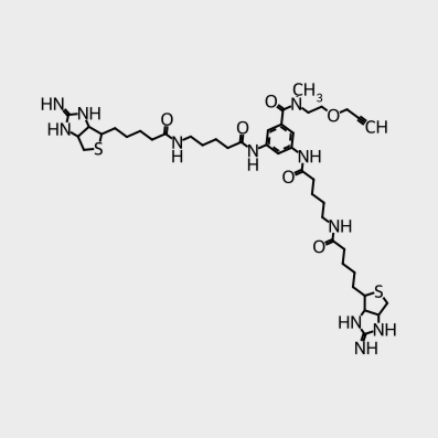 C#CCOCCN(C)C(=O)c1cc(NC(=O)CCCCNC(=O)CCCCC2SCC3NC(=N)NC32)cc(NC(=O)CCCCNC(=O)CCCCC2SCC3NC(=N)NC32)c1